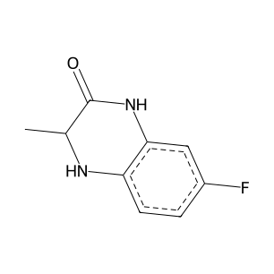 CC1Nc2ccc(F)cc2NC1=O